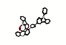 c1ccc(-n2c3ccccc3c3cc(-c4ccc(-c5ccc6c(c5)C5(c7ccccc7O6)c6ccccc6-n6c7ccccc7c7cccc5c76)cc4)ccc32)cc1